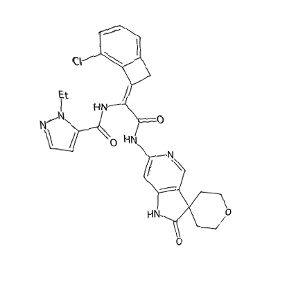 CCn1nccc1C(=O)NC(C(=O)Nc1cc2c(cn1)C1(CCOCC1)C(=O)N2)=C1Cc2cccc(Cl)c21